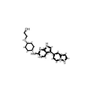 OCCO[C@H]1CC[C@H](Nc2ncc3c(-c4ccn5nccc5c4)c[nH]c3n2)CC1